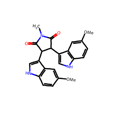 COc1ccc2[nH]cc(C3C(=O)N(C)C(=O)C3c3c[nH]c4ccc(OC)cc34)c2c1